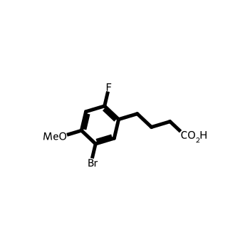 COc1cc(F)c(CCCC(=O)O)cc1Br